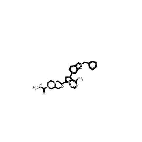 CNC(=O)N1CCN2CC(c3cc(-c4ccc5cn(Cc6ccccc6)nc5c4)c4c(N)ncnn34)OCC2C1